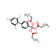 CCC(=O)O[Si](OC(=O)CC)(OC(=O)CC)c1ccc(-c2c(F)cc(F)cc2F)cc1